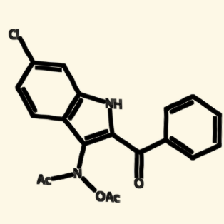 CC(=O)ON(C(C)=O)c1c(C(=O)c2ccccc2)[nH]c2cc(Cl)ccc12